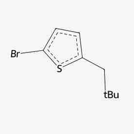 CC(C)(C)Cc1ccc(Br)s1